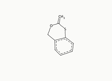 C=C1OCc2ccccc2S1